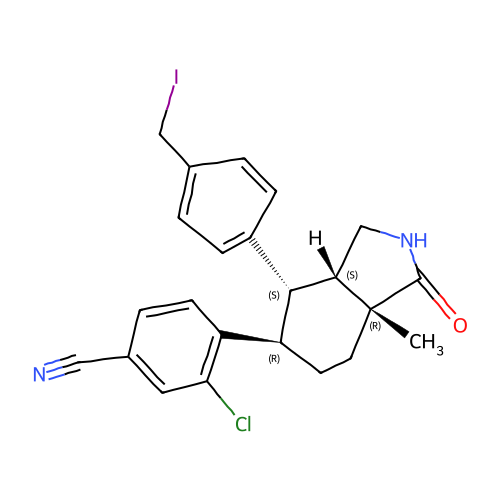 C[C@@]12CC[C@@H](c3ccc(C#N)cc3Cl)[C@H](c3ccc(CI)cc3)[C@@H]1CNC2=O